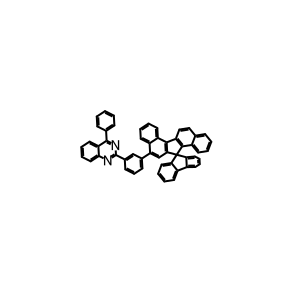 c1ccc(-c2nc(-c3cccc(-c4cc5c(c6ccccc46)-c4ccc6ccccc6c4C54c5ccccc5-c5ccccc54)c3)nc3ccccc23)cc1